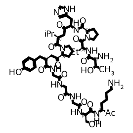 CC[C@H](NC(=O)[C@H](N)C(C)O)C(=O)N1CCC[C@@H]1C(=O)NC(Cc1cnc[nH]1)C(=O)C[C@@H](C(=O)N1CCC[C@H]1C(=O)C[C@H](Cc1ccc(O)cc1)C(=O)NCC(=O)NCC(=O)NCC(=O)N[C@H](CO)C(=O)N[C@@H](CCCCN)C(C)=O)C(C)C